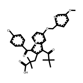 COc1ccc(COc2ccn3c(C(=O)c4ccc(Cl)cc4)c(CC(C)(C)C(=O)O)c(C(=O)C(C)(C)C)c3c2)nc1